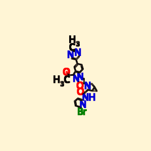 CC(=O)c1nn(CC(=O)N2CC3CC3C2C(=O)Nc2cccc(Br)n2)c2ccc(-c3cnc(C)nc3)cc12